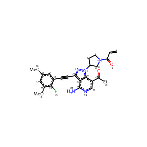 C=CC(=O)N1CCC(n2nc(C#Cc3cc(OC)cc(OC)c3F)c3c(N)ncc(C(=O)CC)c32)C1